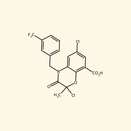 CC1(Cl)Oc2c(C(=O)O)cc(Cl)cc2N(Cc2cccc(C(F)(F)F)c2)C1=O